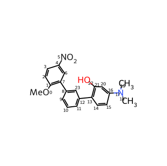 COc1ccc([N+](=O)[O-])cc1-c1cccc(-c2ccc(N(C)C)cc2O)c1